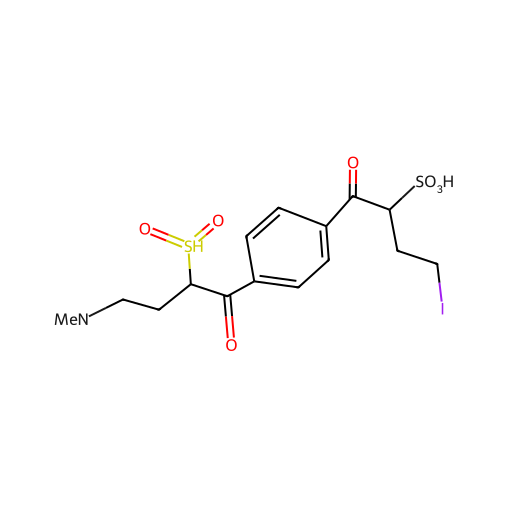 CNCCC(C(=O)c1ccc(C(=O)C(CCI)S(=O)(=O)O)cc1)[SH](=O)=O